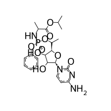 CC(C)OC(=O)C(C)NP(=O)(Oc1ccccc1)OC(C)[C@H]1O[C@@H](n2ccc(N)nc2=O)C(O)C1O